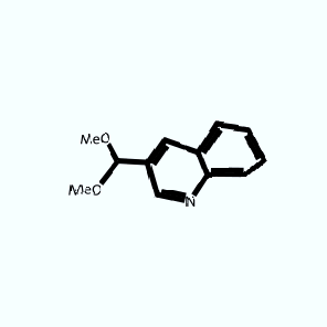 COC(OC)c1cnc2ccccc2c1